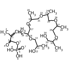 C=C(C)C(=O)OP(=O)(O)O.CC(O)COC(C)COC(C)COC(C)COC(C)COC(C)CO